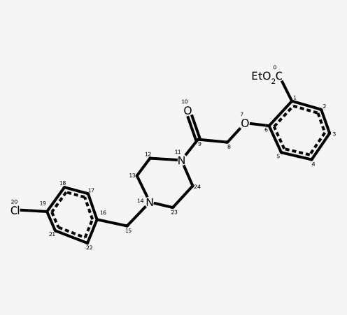 CCOC(=O)c1ccccc1OCC(=O)N1CCN(Cc2ccc(Cl)cc2)CC1